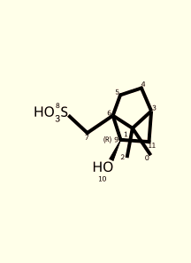 CC1(C)C2CCC1(CS(=O)(=O)O)[C@H](O)C2